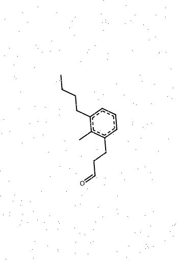 CCCCc1cccc(CCC=O)c1C